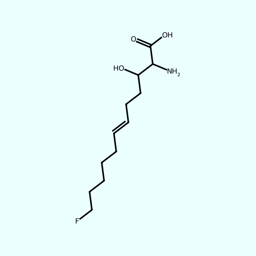 NC(C(=O)O)C(O)CC/C=C/CCCCCF